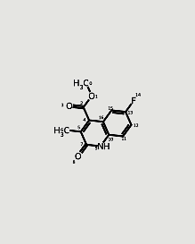 COC(=O)c1c(C)c(=O)[nH]c2ccc(F)cc12